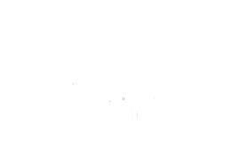 C[C@@H]1CCC2(C)CCC(=O)[C@H]2C1(C)C